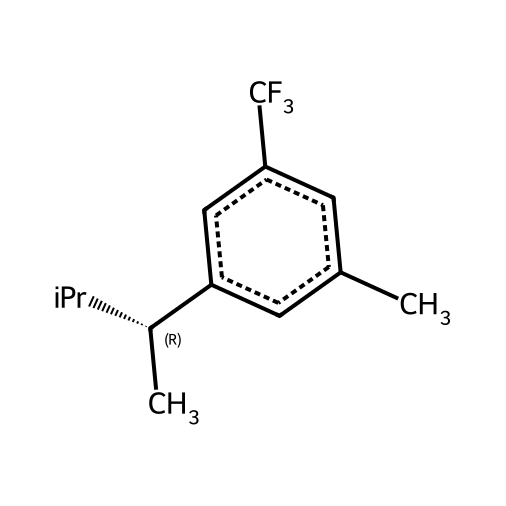 Cc1cc([C@H](C)C(C)C)cc(C(F)(F)F)c1